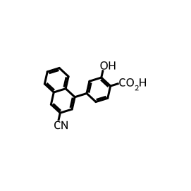 N#Cc1cc(-c2ccc(C(=O)O)c(O)c2)c2ccccc2c1